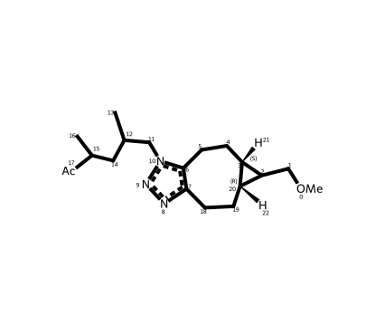 COCC1[C@H]2CCc3c(nnn3CC(C)CC(C)C(C)=O)CC[C@@H]12